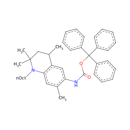 CCCCCCCCN1c2cc(C)c(NC(=O)OC(c3ccccc3)(c3ccccc3)c3ccccc3)cc2C(C)CC1(C)C